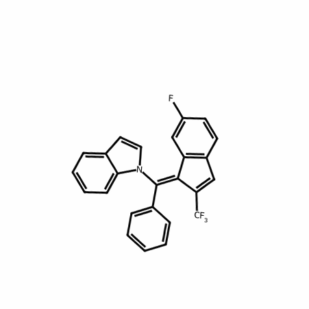 Fc1ccc2c(c1)C(=C(c1ccccc1)n1ccc3ccccc31)C(C(F)(F)F)=C2